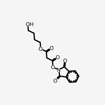 O=C(CC(=O)ON1C(=O)c2ccccc2C1=O)OCCCCO